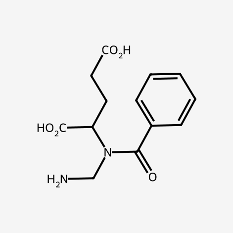 NCN(C(=O)c1ccccc1)C(CCC(=O)O)C(=O)O